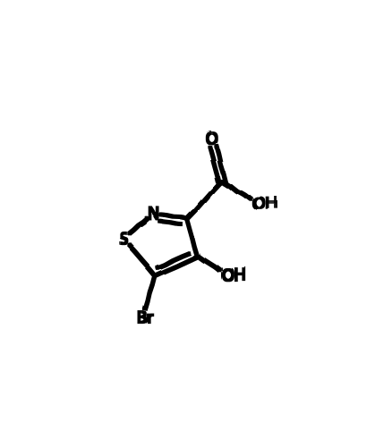 O=C(O)c1nsc(Br)c1O